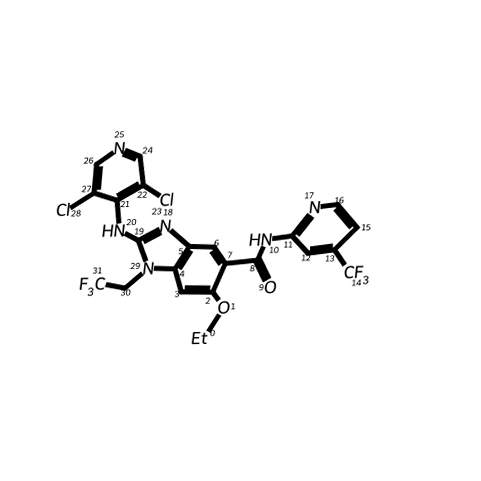 CCOc1cc2c(cc1C(=O)Nc1cc(C(F)(F)F)ccn1)nc(Nc1c(Cl)cncc1Cl)n2CC(F)(F)F